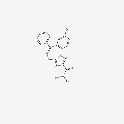 CCN(CC)C(=O)c1nc2n(n1)-c1ccc(Cl)cc1C(c1ccccc1)=NC2